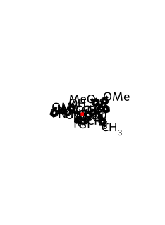 COc1ccc(C(OC[C@H](COS(=O)(=O)c2ccc(C)cc2)Oc2c(Cl)c(C)c(-c3c(I)sc4ncnc(O[C@H](Cc5cc(O)ccc5OCc5ccnc(-c6ccccc6OC)n5)C(=O)O)c34)c(C)c2Cl)(c2ccccc2)c2ccc(OC)cc2)cc1